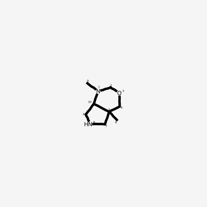 CN1COCC2(C)CNCC12